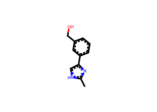 Cc1nc(-c2cccc(CO)c2)c[nH]1